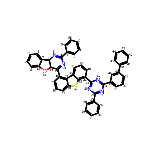 c1ccc(C2=NC3c4ccccc4OC3C(c3cccc4sc5c(-c6nc(-c7ccccc7)nc(-c7cccc(-c8ccccc8)c7)n6)cccc5c34)=N2)cc1